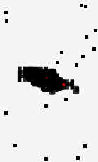 CC(C)CC1CC(=O)N(C2OC(CO)C(OC3CCC(C(O)(O)O)CO3)C(O)C2O)C1